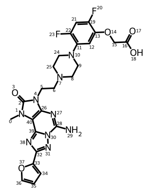 Cn1c(=O)n(CCN2CCN(c3cc(OCC(=O)O)c(F)cc3F)CC2)c2nc(N)n3nc(-c4ccco4)nc3c21